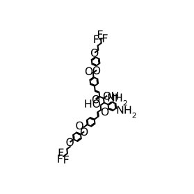 Nc1ccc(C(C(O)C(=O)/C=C/c2ccc(C(=O)Oc3ccc(OCCCC(F)(F)F)cc3)cc2)C(O)C(=O)/C=C/c2ccc(C(=O)Oc3ccc(OCCCC(F)(F)F)cc3)cc2)c(N)c1